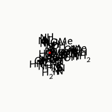 COCC(O)[C@@H](COP(=O)(O)OC(COC)[C@@H](COP(=O)(O)OC(C)[C@H](CNCc1c[nH]c2c(N)ncnc12)COP(=O)(O)OC1C(OC)[C@H](n2cnc3c(=O)[nH]c(N)nc32)O[C@@H]1CO)ONCn1cnc2c(=O)[nH]c(N)nc21)ONCn1cnc2c(N)ncnc21